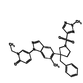 CCn1cc(-n2ncc3cc(C4(Cc5ccccc5)CCN(S(=O)(=O)c5cnn(C)n5)C4)c(C)cc32)ccc1=O